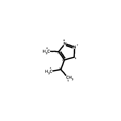 CC1=C(C(C)C)CN=N1